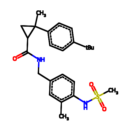 Cc1cc(CNC(=O)C2CC2(C)c2ccc(C(C)(C)C)cc2)ccc1NS(C)(=O)=O